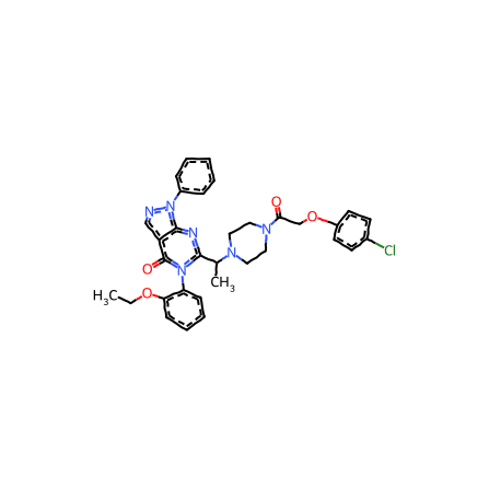 CCOc1ccccc1-n1c(C(C)N2CCN(C(=O)COc3ccc(Cl)cc3)CC2)nc2c(cnn2-c2ccccc2)c1=O